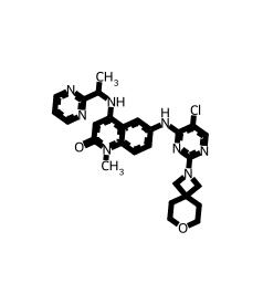 CC(Nc1cc(=O)n(C)c2ccc(Nc3nc(N4CC5(CCOCC5)C4)ncc3Cl)cc12)c1ncccn1